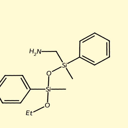 CCO[Si](C)(O[Si](C)(CN)c1ccccc1)c1ccccc1